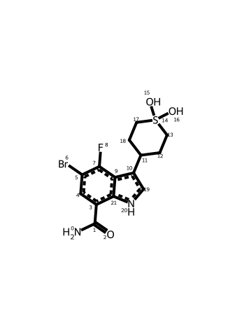 NC(=O)c1cc(Br)c(F)c2c(C3CCS(O)(O)CC3)c[nH]c12